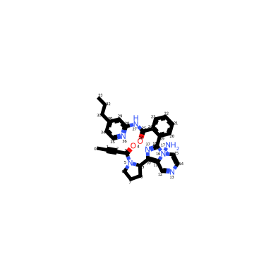 CC#CC(=O)N1CCCC1C1=C2C=NC=C[N+]2(N)C(c2ccccc2C(=O)Nc2cc(CCC)ccn2)=N1